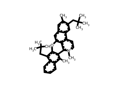 Cc1cc2cc3c4c([n+](C)ccc4c2cc1CC(C)(C)C)-c1c(c(CC(C)(C)C)c2ccccc2c1C)O3